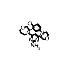 Cc1cc(N2CCCOC[C@H]2c2cc(N3CCOCC3)ccc2Cl)nc(N)n1